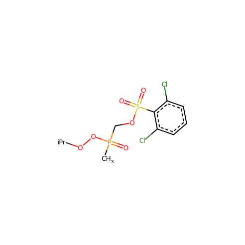 CC(C)OOP(C)(=O)COS(=O)(=O)c1c(Cl)cccc1Cl